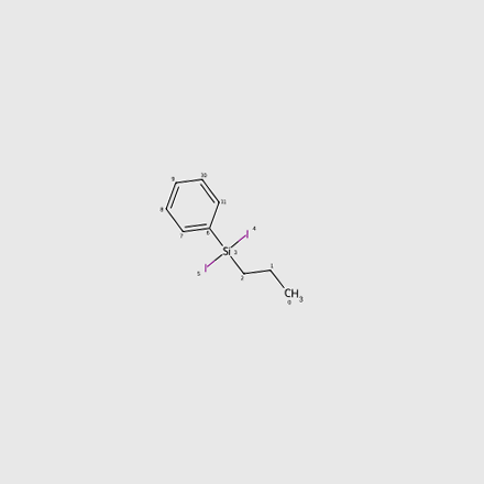 CCC[Si](I)(I)c1ccccc1